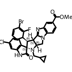 COC(=O)c1ccc2c(c1)nc1n2C[C@H]2[C@@H]1[C@H](C1CC=CC(Br)=C1F)[C@]1(C(=O)Nc3cc(Cl)ccc31)N2CC1CC1